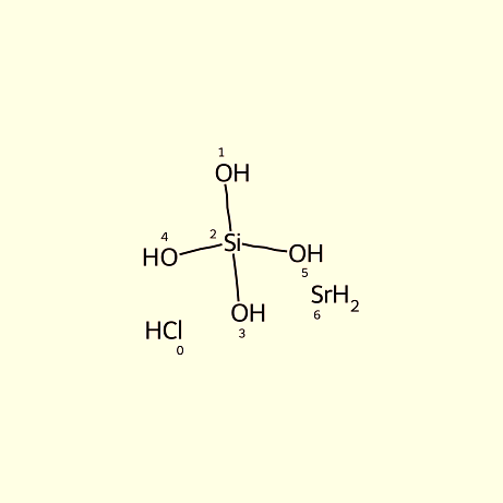 Cl.O[Si](O)(O)O.[SrH2]